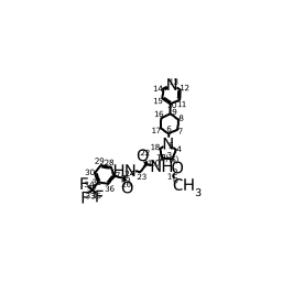 CCO[C@H]1CN(C2CCC(c3ccncc3)CC2)C[C@@H]1NC(=O)CNC(=O)c1cccc(C(F)(F)F)c1